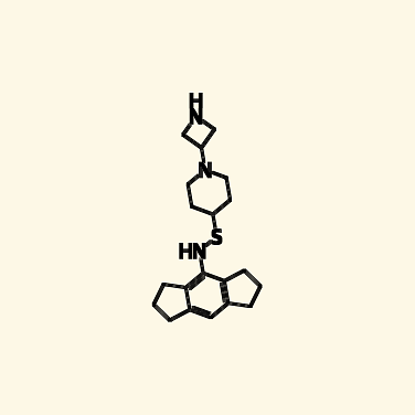 c1c2c(c(NSC3CCN(C4CNC4)CC3)c3c1CCC3)CCC2